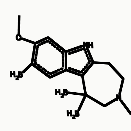 Bc1cc2c3c([nH]c2cc1OC)CCN(C)CC3(B)B